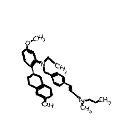 CCCN(C)CCc1ccc(CN(CC)c2cc(OC)ccc2[C@@H]2CCc3cc(O)ccc3C2)cc1